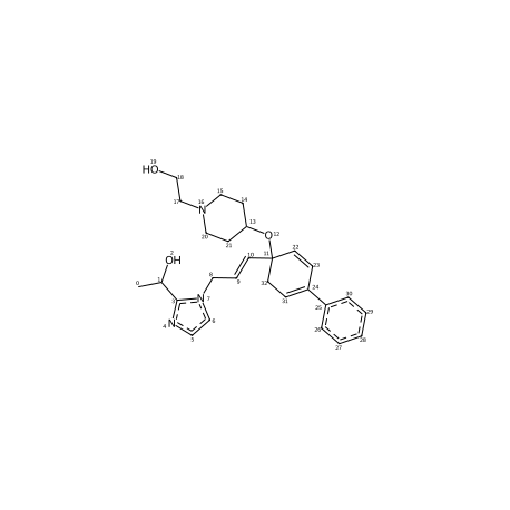 CC(O)c1nccn1C/C=C/C1(OC2CCN(CCO)CC2)C=CC(c2ccccc2)=CC1